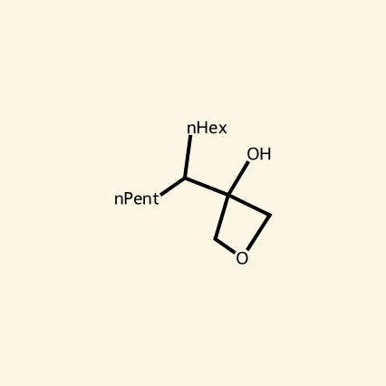 CCCCCCC(CCCCC)C1(O)COC1